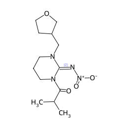 CC(C)C(=O)N1CCCN(CC2CCOC2)/C1=N/[N+](=O)[O-]